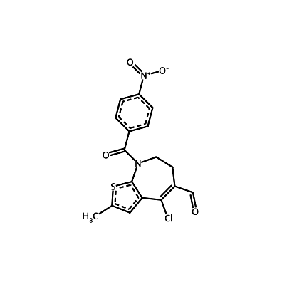 Cc1cc2c(s1)N(C(=O)c1ccc([N+](=O)[O-])cc1)CCC(C=O)=C2Cl